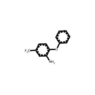 Nc1cc(C(F)(F)F)ccc1Oc1ccccc1